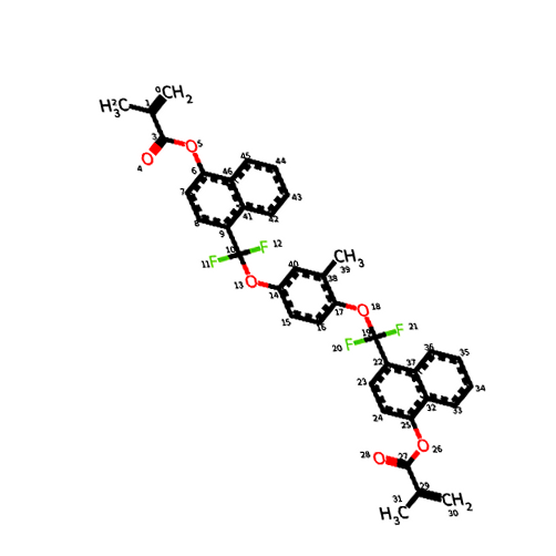 C=C(C)C(=O)Oc1ccc(C(F)(F)Oc2ccc(OC(F)(F)c3ccc(OC(=O)C(=C)C)c4ccccc34)c(C)c2)c2ccccc12